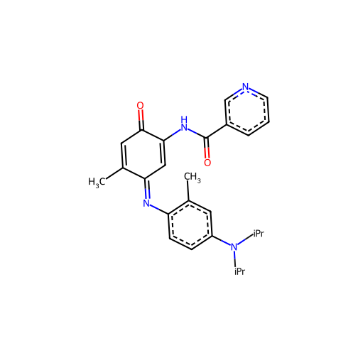 CC1=CC(=O)C(NC(=O)c2cccnc2)=CC1=Nc1ccc(N(C(C)C)C(C)C)cc1C